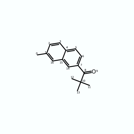 Cc1ccc2ccc(C(=O)C(C)(C)C)cc2c1